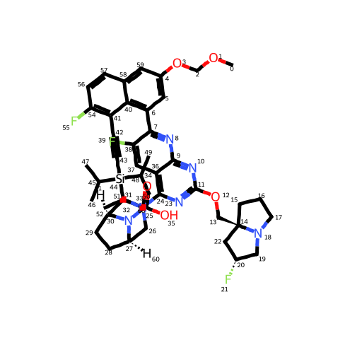 COCOc1cc(-c2nc3nc(OC[C@@]45CCCN4C[C@H](F)C5)nc(N4C[C@H]5CC[C@@H](C4)N5C(=O)O)c3cc2F)c2c(C#C[Si](C(C)C)(C(C)C)C(C)C)c(F)ccc2c1